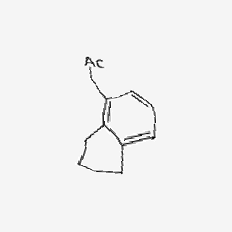 CC(=O)Cc1cccc2c1CCCC2